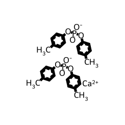 Cc1ccc(OP(=O)([O-])Oc2ccc(C)cc2)cc1.Cc1ccc(OP(=O)([O-])Oc2ccc(C)cc2)cc1.[Ca+2]